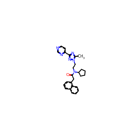 Cc1nc(-c2ccncn2)nn1CCN(C(=O)Cc1cccc2ccccc12)C1CCCC1